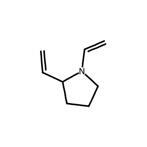 C=CC1CCCN1C=C